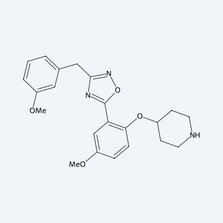 COc1cccc(Cc2noc(-c3cc(OC)ccc3OC3CCNCC3)n2)c1